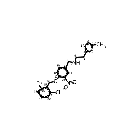 Cc1cnc(CCNCc2ccc(OCc3c(F)cccc3Cl)c([N+](=O)[O-])c2)s1